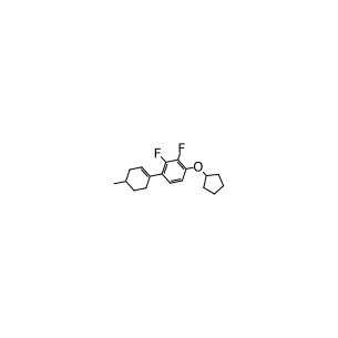 CC1CC=C(c2ccc(OC3CCCC3)c(F)c2F)CC1